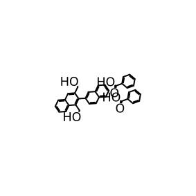 O=C(O)c1ccccc1.O=C(O)c1ccccc1.OCc1cc2ccccc2c(CO)c1-c1ccc2ccccc2c1